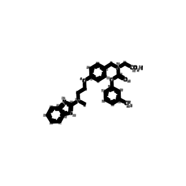 CN(CCOc1ccc(CN(CC(=O)O)C(=O)Oc2cccc(C(F)(F)F)c2)cc1)c1nc2ccccc2s1